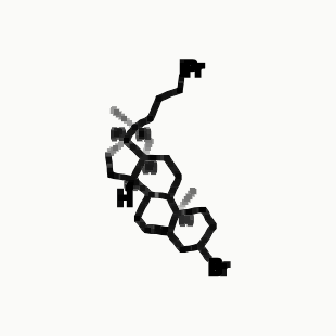 CC(C)CCC[C@@H](C)[C@H]1CC[C@H]2C3CC=C4CC(Br)CC[C@]4(C)C3CC[C@]12C